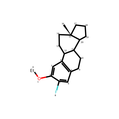 CCOc1cc2c(cc1F)CCC1C2CC[C@]2(C)CCCC12